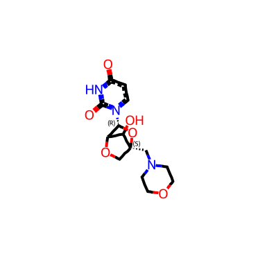 O=c1ccn([C@@H]2O[C@@]3(CN4CCOCC4)COC2C3O)c(=O)[nH]1